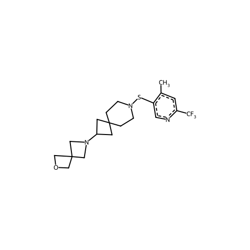 Cc1cc(C(F)(F)F)ncc1SN1CCC2(CC1)CC(N1CC3(COC3)C1)C2